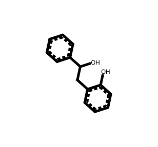 Oc1ccccc1[CH]C(O)c1ccccc1